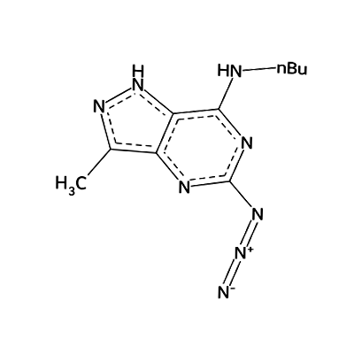 CCCCNc1nc(N=[N+]=[N-])nc2c(C)n[nH]c12